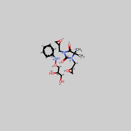 CC1(C)C(=O)N(CC2CO2)C(=O)N1CC1CO1.OCC(O)CONc1ccccc1